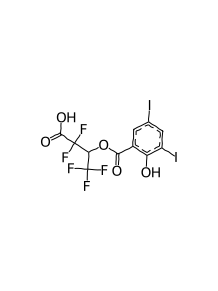 O=C(OC(C(F)(F)F)C(F)(F)C(=O)O)c1cc(I)cc(I)c1O